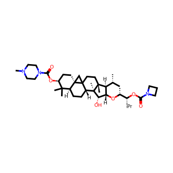 CC(C)[C@@H](OC(=O)N1CCC1)[C@H]1C[C@@H](C)[C@H]2[C@H](O1)[C@H](O)[C@@]1(C)[C@@H]3CC[C@H]4C(C)(C)[C@@H](OC(=O)N5CCN(C)CC5)CC[C@@]45CC35CC[C@]21C